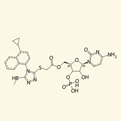 CBc1nnc(SCC(=O)OC[C@H]2O[C@@H](n3ccc(N)nc3=O)C(O)C2OP(=O)(O)O)n1-c1ccc(C2CC2)c2ccccc12